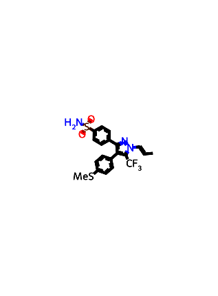 CC=Cn1nc(-c2ccc(S(N)(=O)=O)cc2)c(-c2ccc(SC)cc2)c1C(F)(F)F